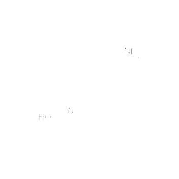 NCc1ccc[n+](O)c1